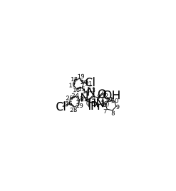 CC(C)c1c(C(=O)N[C@H]2CCCC[C@@H]2O)nc(-c2ccccc2Cl)n1-c1ccc(Cl)cc1